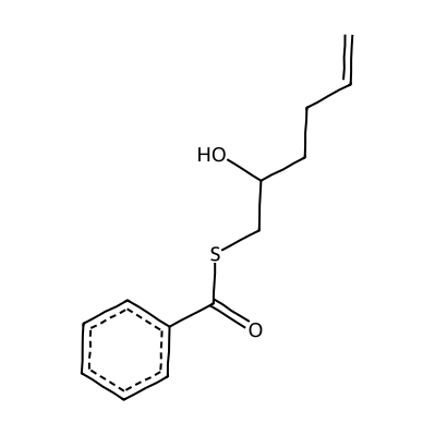 C=CCCC(O)CSC(=O)c1ccccc1